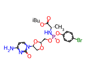 CC[C@@H](C)OC(=O)[C@H](C)NP(=O)(OC[C@H]1OC[C@@H](n2ccc(N)nc2=O)O1)Oc1ccc(Br)cc1